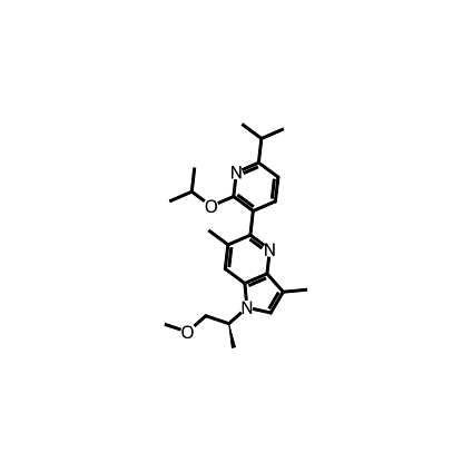 COC[C@H](C)n1cc(C)c2nc(-c3ccc(C(C)C)nc3OC(C)C)c(C)cc21